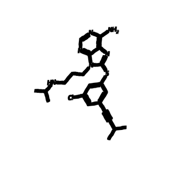 CC(C)C#Cc1cc(Cl)cc(Sc2nc3c(N)ncnc3n2CCCNC(C)C)c1